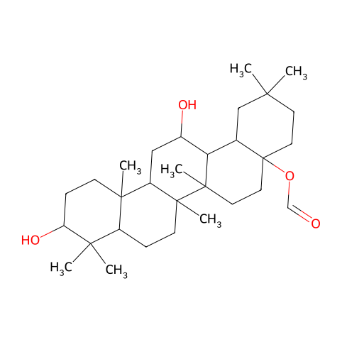 CC1(C)CCC2(OC=O)CCC3(C)C(C(O)CC4C5(C)CCC(O)C(C)(C)C5CCC43C)C2C1